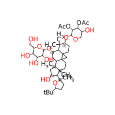 CC(=O)OC1C(O)COC(O[C@H]2CCC34CC35CC[C@]3(C)C([C@@]6(C)CCC(C(C)(C)C)O6)[C@@H](O)C[C@@]3(C)C5C[C@H](OC3OC(CO)C(O)C(O)C3O)C4C2(C)C)C1OC(C)=O